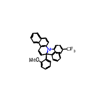 COc1ccccc1C1(c2ccccc2)C=Cc2c(ccc3ccccc23)N1c1ccc(C(F)(F)F)cc1